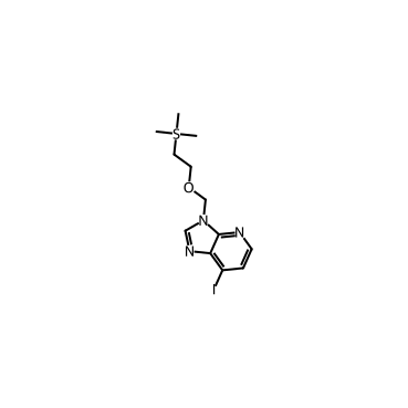 CS(C)(C)CCOCn1cnc2c(I)ccnc21